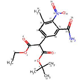 CCOC(=O)C(C(=O)OC(C)(C)C)c1cc(C)c([N+](=O)[O-])c(C(N)=O)c1